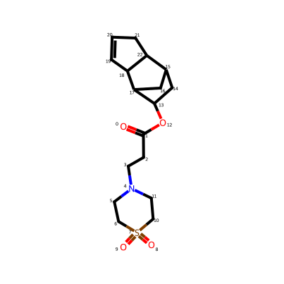 O=C(CCN1CCS(=O)(=O)CC1)OC1CC2CC1C1C=CCC21